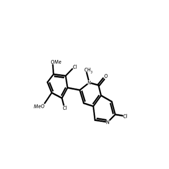 COc1cc(OC)c(Cl)c(-c2cc3cnc(Cl)cc3c(=O)n2C)c1Cl